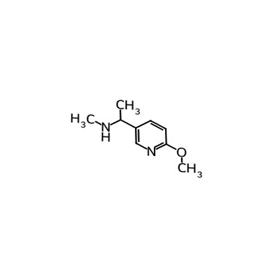 CNC(C)c1ccc(OC)nc1